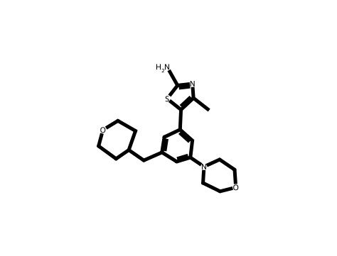 Cc1nc(N)sc1-c1cc(CC2CCOCC2)cc(N2CCOCC2)c1